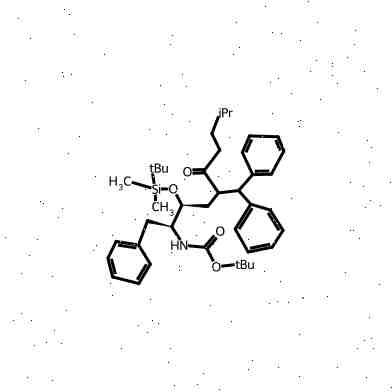 CC(C)CCC(=O)C(C[C@H](O[Si](C)(C)C(C)(C)C)[C@H](Cc1ccccc1)NC(=O)OC(C)(C)C)C(c1ccccc1)c1ccccc1